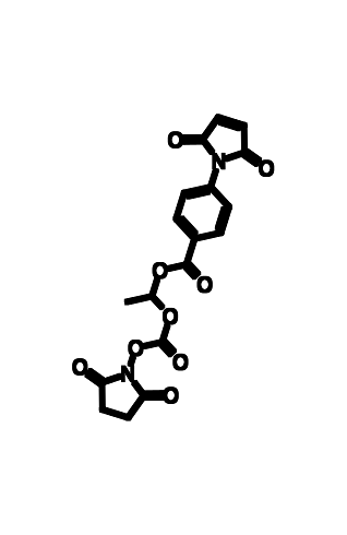 CC(OC(=O)ON1C(=O)CCC1=O)OC(=O)c1ccc(N2C(=O)C=CC2=O)cc1